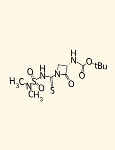 CN(C)S(=O)(=O)NC(=S)N1C[C@H](NC(=O)OC(C)(C)C)C1=O